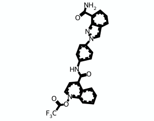 NC(=O)c1cccc2cn(-c3ccc(NC(=O)c4cc[n+](OC(=O)C(F)(F)F)c5ccccc45)cc3)nc12